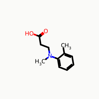 Cc1ccccc1N(C)CCC(=O)O